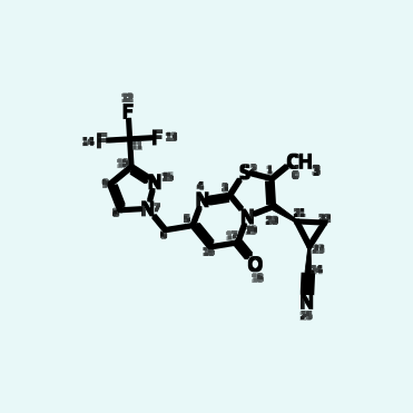 Cc1sc2nc(Cn3ccc(C(F)(F)F)n3)cc(=O)n2c1[C@H]1C[C@H]1C#N